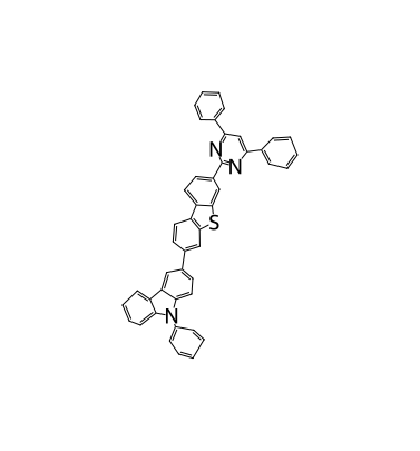 c1ccc(-c2cc(-c3ccccc3)nc(-c3ccc4c(c3)sc3cc(-c5ccc6c(c5)c5ccccc5n6-c5ccccc5)ccc34)n2)cc1